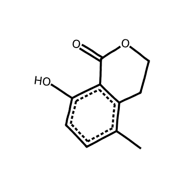 Cc1ccc(O)c2c1CCOC2=O